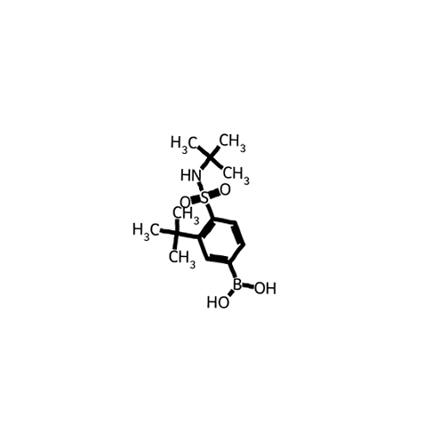 CC(C)(C)NS(=O)(=O)c1ccc(B(O)O)cc1C(C)(C)C